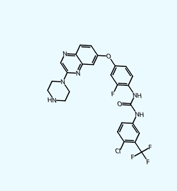 O=C(Nc1ccc(Cl)c(C(F)(F)F)c1)Nc1ccc(Oc2ccc3ncc(N4CCNCC4)nc3c2)cc1F